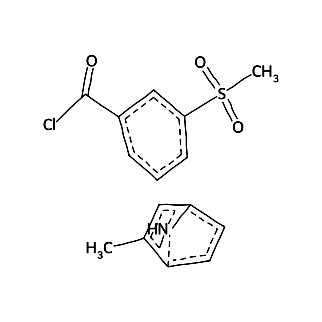 CS(=O)(=O)c1cccc(C(=O)Cl)c1.Cc1cc2ccc1[nH]2